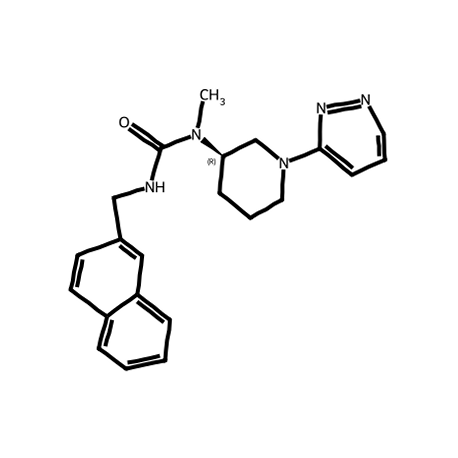 CN(C(=O)NCc1ccc2ccccc2c1)[C@@H]1CCCN(c2cccnn2)C1